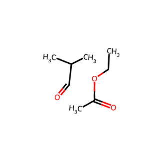 CC(C)C=O.CCOC(C)=O